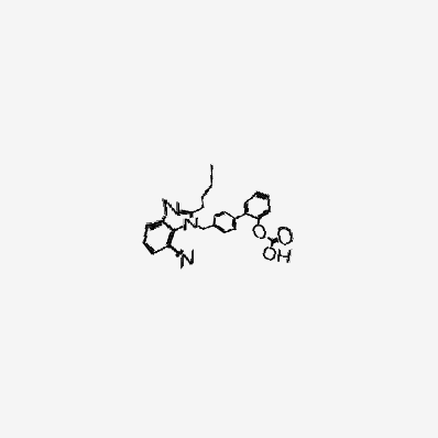 CCCCc1nc2cccc(C#N)c2n1Cc1ccc(-c2ccccc2OC(=O)O)cc1